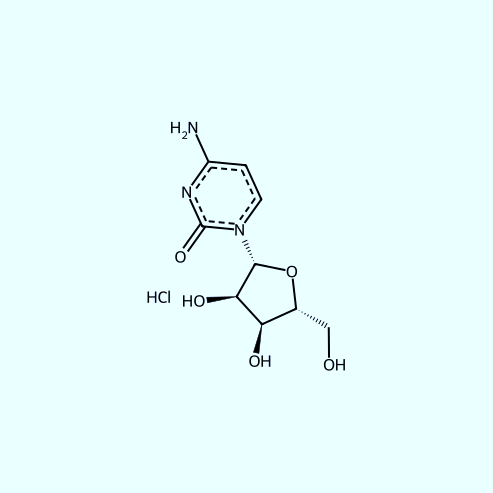 Cl.Nc1ccn([C@@H]2O[C@H](CO)[C@@H](O)[C@H]2O)c(=O)n1